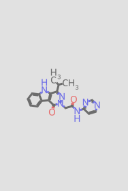 CC(C)c1nn(CC(=O)Nc2ccncn2)c(=O)c2c1[nH]c1ccccc12